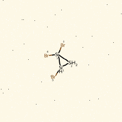 Br[SiH]1[SiH2][Si]1(Br)Br